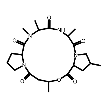 CC1CC2C(=O)OC(C)CC(=O)N3CCCC3C(=O)N(C)C(C)C(=O)NC(C)C(=O)N2C1